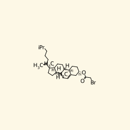 CC(C)CCC[C@H](C)C1CC[C@@H]2[C@@H]3CC=C4C[C@@H](OC(=O)CBr)CC[C@]4(C)[C@@H]3CC[C@]12C